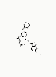 Cc1ccc2c(OCCC3CCN(CC4CCCCC4)CC3)noc2c1.O=C(O)/C=C/C(=O)O